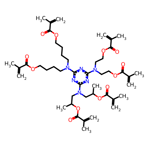 C=C(C)C(=O)OCCCCN(CCCCOC(=O)C(=C)C)c1nc(N(CCOC(=O)C(=C)C)CCOC(=O)C(=C)C)nc(N(CC(C)OC(=O)C(=C)C)CC(C)OC(=O)C(=C)C)n1